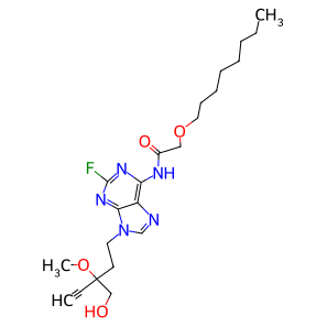 C#CC(CO)(CCn1cnc2c(NC(=O)COCCCCCCCC)nc(F)nc21)OC